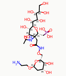 CC(=O)N[C@@]1(CC(=O)NOC[C@H]2O[C@H](OCCN)C[C@@H](O)[C@@H]2O)[C@@H](CP(=O)(O)O)O[C@H]([C@H](O)[C@@H](O)[C@H](O)[C@H](O)CO)[C@@H](O)[C@@H]1O